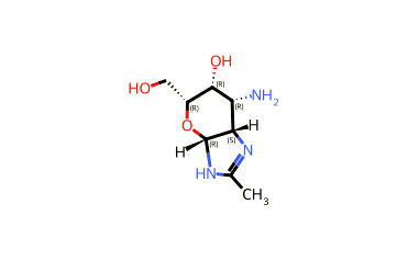 CC1=N[C@H]2[C@@H](N)[C@@H](O)[C@@H](CO)O[C@H]2N1